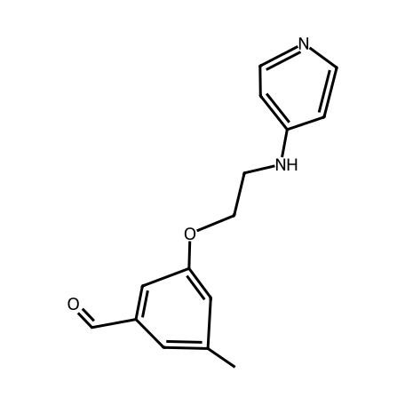 Cc1cc(C=O)cc(OCCNc2ccncc2)c1